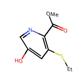 CCSc1cc(O)cnc1C(=O)OC